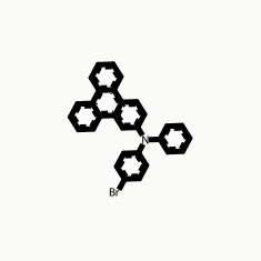 Brc1ccc(N(c2ccccc2)c2ccc3c4ccccc4c4ccccc4c3c2)cc1